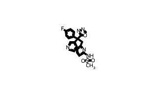 CS(=O)(=O)Nc1cccc(CC(c2ccc(F)cc2)(c2cccnc2)c2nnco2)n1